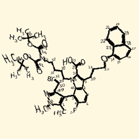 Cc1c(-c2c(F)ccc3c(CCCOc4cccc5ccccc45)c(C(=O)O)n(CCCCN(C(=O)OC(C)(C)C)C(=O)OC(C)(C)C)c23)c(CBr)nn1C